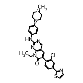 CCn1c(=O)c(-c2ccc(-c3nccs3)cc2Cl)cc2cnc(Nc3ccc(N4CCN(C)CC4)cc3)nc21